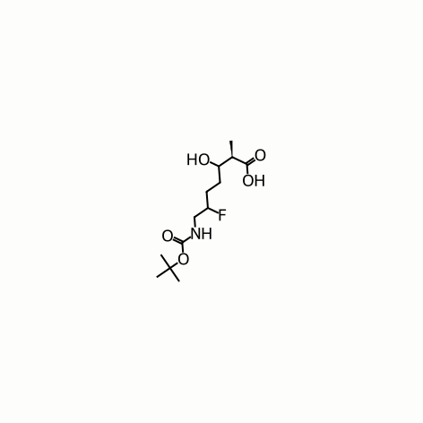 C[C@@H](C(=O)O)C(O)CCC(F)CNC(=O)OC(C)(C)C